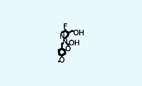 COc1ccc(CN(C(=O)O)c2cc(CO)c(F)cn2)cc1